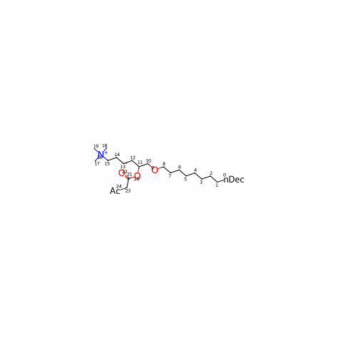 CCCCCCCCCCCCCCCCCCOCC(C[CH]CC[N+](C)(C)C)OC(=O)CC(C)=O